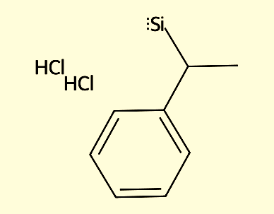 CC([Si])c1ccccc1.Cl.Cl